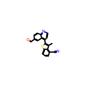 Cc1c(-c2ccnc3ccc(C=O)cc23)sc2cccc(C#N)c12